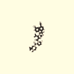 CC(C)C1=C(C(=O)N2[C@H](C)CC[C@H]2C(=O)N2CCN(C)C3(CC3)C2)SC2=N[C@@](C)(c3ccc(C#N)cc3)[C@@H](c3ccc(Cl)cc3)N21